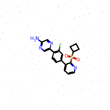 Nc1cnc(-c2ccc(-c3cccnc3S(=O)(=O)C3CCC3)cc2F)cn1